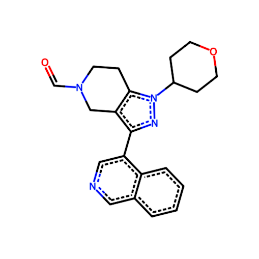 O=CN1CCc2c(c(-c3cncc4ccccc34)nn2C2CCOCC2)C1